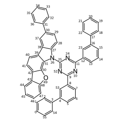 c1ccc(-c2cccc(-c3nc(-c4cccc(-c5ccccc5)c4)nc(-n4c5ccc(-c6ccccc6)cc5c5ccc6c7ccccc7oc6c54)n3)c2)cc1